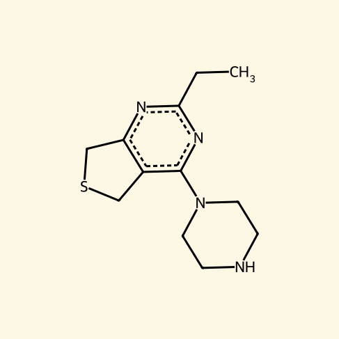 CCc1nc2c(c(N3CCNCC3)n1)CSC2